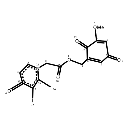 COC1=CC(=O)C=C(COC(=O)Cn2ccc(=O)c(I)c2I)C1=O